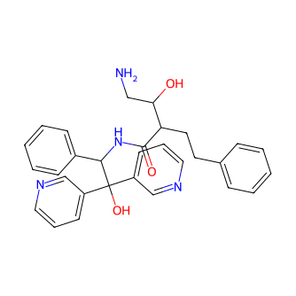 NCC(O)C(CCc1ccccc1)C(=O)NC(c1ccccc1)C(O)(c1cccnc1)c1cccnc1